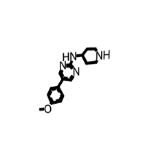 COc1ccc(-c2cnc(NC3CCNCC3)nc2)cc1